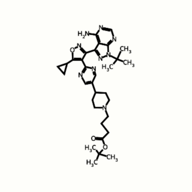 CC(C)(C)OC(=O)CCCN1CCC(c2cnc(-c3c(-c4nn(C(C)(C)C)c5ncnc(N)c45)noc3C3CC3)nc2)CC1